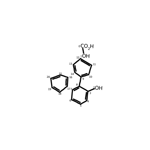 O=C(O)O.Oc1ccccc1-c1ccccc1.c1ccccc1